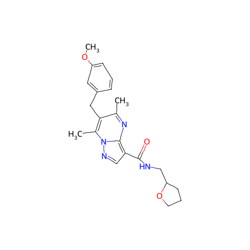 COc1cccc(Cc2c(C)nc3c(C(=O)NCC4CCCO4)cnn3c2C)c1